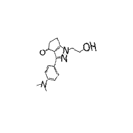 CN(C)c1ccc(-c2nn(CCO)c3c2C(=O)CC3)cc1